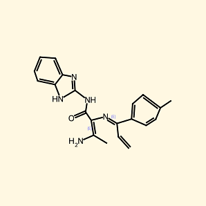 C=C/C(=N\C(C(=O)Nc1nc2ccccc2[nH]1)=C(/C)N)c1ccc(C)cc1